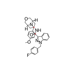 COc1ccc(CN2[C@@H]3COC[C@H]2C[C@@H](NC(=O)c2nn(Cc4ccc(F)cc4)c4ccccc24)C3)cc1